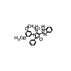 COc1cc(OC)cc(N2C(N)=C(c3nc4ccccc4[nH]3)C(=O)[C@H]2c2ccccc2)c1